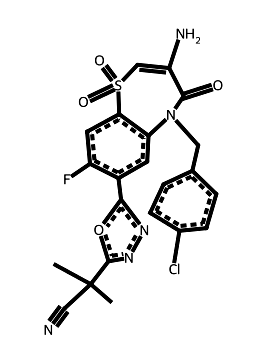 CC(C)(C#N)c1nnc(-c2cc3c(cc2F)S(=O)(=O)C=C(N)C(=O)N3Cc2ccc(Cl)cc2)o1